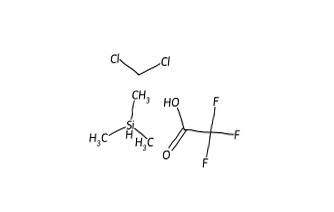 C[SiH](C)C.ClCCl.O=C(O)C(F)(F)F